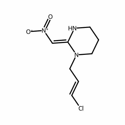 O=[N+]([O-])C=C1NCCCN1CC=CCl